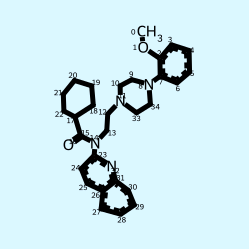 COc1ccccc1N1CCN(CCN(C(=O)C2CCCCC2)c2ccc3ccccc3n2)CC1